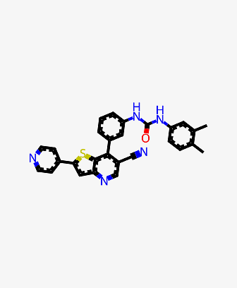 Cc1ccc(NC(=O)Nc2cccc(-c3c(C#N)cnc4cc(-c5ccncc5)sc34)c2)cc1C